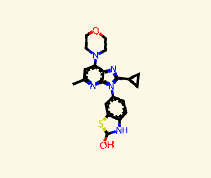 Cc1cc(N2CCOCC2)c2nc(C3CC3)n(-c3ccc4c(c3)SC(O)N4)c2n1